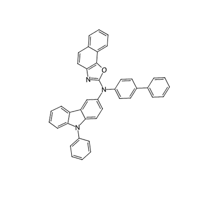 c1ccc(-c2ccc(N(c3ccc4c(c3)c3ccccc3n4-c3ccccc3)c3nc4ccc5ccccc5c4o3)cc2)cc1